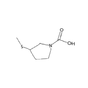 CSC1CCN(C(=O)O)C1